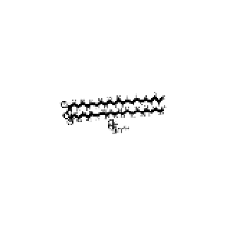 CCCCCCCCCCCCCCCCCCCCCC(=O)[O-].CCCCCCCCCCCCCCCCCCCCCC(=O)[O-].[Cl-].[Cl-].[Sn+4]